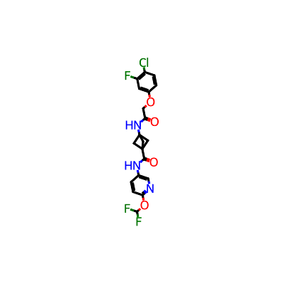 O=C(COc1ccc(Cl)c(F)c1)NC12CC(C(=O)Nc3ccc(OC(F)F)nc3)(C1)C2